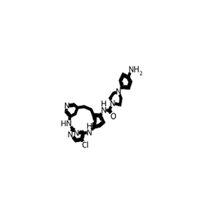 Nc1ccc(N2CCN(C(=O)Nc3ccc4cc3CCC3C=NC=C(C3)Nc3ncc(Cl)c(n3)N4)CC2)cc1